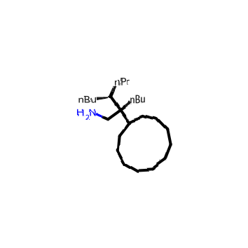 CCCC[C@@H](CCC)C(CN)(CCCC)C1CCCCCCCCCC1